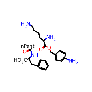 CCCCCC(=O)NC(Cc1ccccc1)C(=O)O.NCCCCC(N)C(=O)OCc1ccc(N)cc1